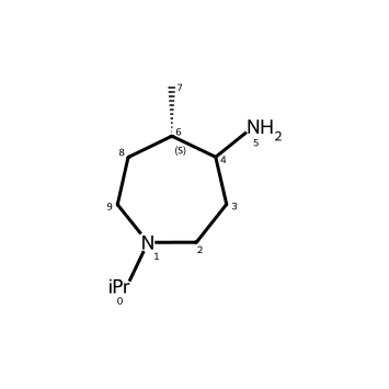 CC(C)N1CCC(N)[C@@H](C)CC1